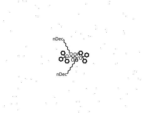 CCCCCCCCCCCCCCCCCCO[C@H](COC(c1ccccc1)(c1ccccc1)c1ccccc1)[C@@H](O)[C@H](O)[C@@H](COC(c1ccccc1)(c1ccccc1)c1ccccc1)OCCCCCCCCCCCCCCCCCC